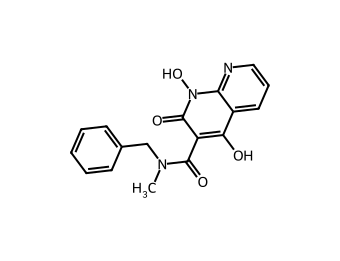 CN(Cc1ccccc1)C(=O)c1c(O)c2cccnc2n(O)c1=O